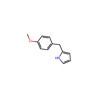 COc1ccc(Cc2ccc[nH]2)cc1